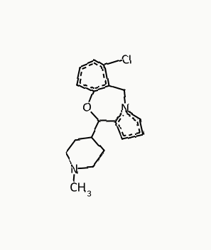 CN1CCC(C2Oc3cccc(Cl)c3Cn3cccc32)CC1